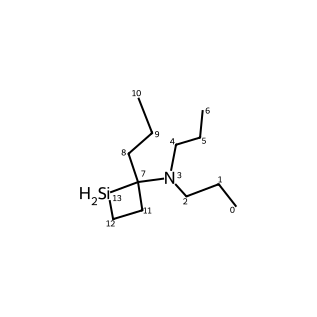 CCCN(CCC)C1(CCC)CC[SiH2]1